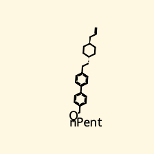 C=CC[C@H]1CC[C@H](CCc2ccc(-c3ccc(COCCCCC)cc3)cc2)CC1